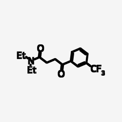 CCN(CC)C(=O)CCC(=O)c1cccc(C(F)(F)F)c1